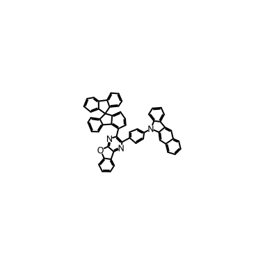 c1ccc2c(c1)-c1ccccc1C21c2ccccc2-c2c(-c3nc4oc5ccccc5c4nc3-c3ccc(-n4c5ccccc5c5cc6ccccc6cc54)cc3)cccc21